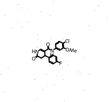 COc1cc(NC(=O)C2=CNC(=O)CC2c2ccc(F)cc2)ccc1Cl